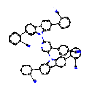 N#Cc1ccc(-c2cc(-n3c4cc(-c5ccccc5C#N)ccc4c4ccc(-c5ccccc5C#N)cc43)ncc2-n2c3cc(-c4ccccc4C#N)ccc3c3ccc(-c4ccccc4C#N)cc32)cc1